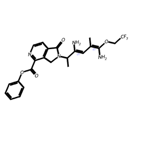 CC(/C=C(\N)C(C)N1Cc2c(ccnc2C(=O)Oc2ccccc2)C1=O)=C(/N)OCC(F)(F)F